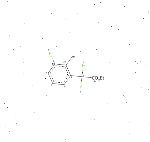 CCOC(=O)C(F)(F)c1cccc(F)c1C